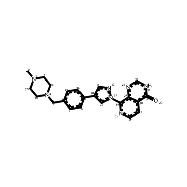 CN1CCN(Cc2ccc(-c3cnn(-c4nccc5c(=O)[nH]cnc45)c3)cc2)CC1